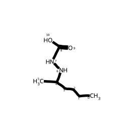 CCCCC(C)NNC(=O)O